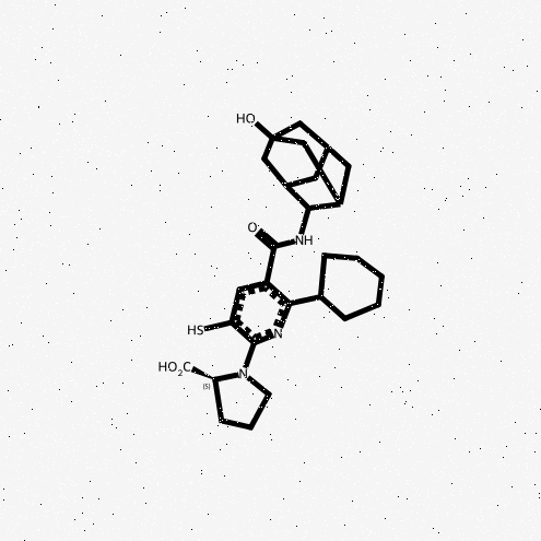 O=C(NC1C2CC3CC1CC(O)(C3)C2)c1cc(S)c(N2CCC[C@H]2C(=O)O)nc1C1CCCCC1